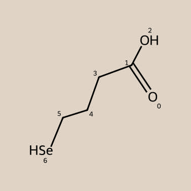 O=C(O)CCC[SeH]